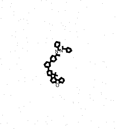 C=C(/N=C(\N=C(/C)c1ccccc1)c1ccccc1)c1ccc(-c2cccc(-c3ccc4c(c3)C(C)(C)c3c-4ccc4oc5ccccc5c34)c2)cc1